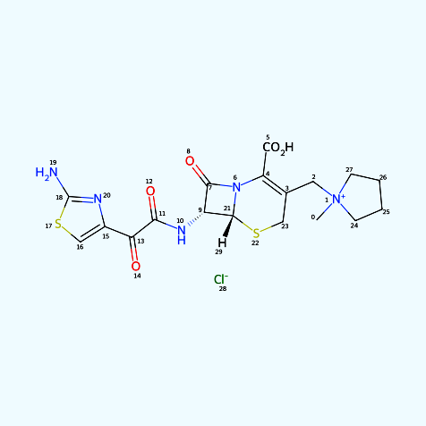 C[N+]1(CC2=C(C(=O)O)N3C(=O)[C@@H](NC(=O)C(=O)c4csc(N)n4)[C@H]3SC2)CCCC1.[Cl-]